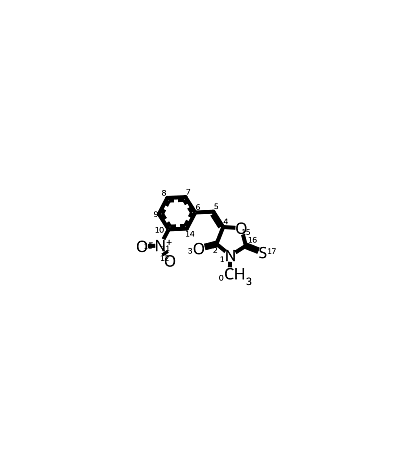 CN1C(=O)/C(=C\c2cccc([N+](=O)[O-])c2)OC1=S